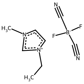 CC[n+]1ccn(C)c1.N#C[B-](F)(F)C#N